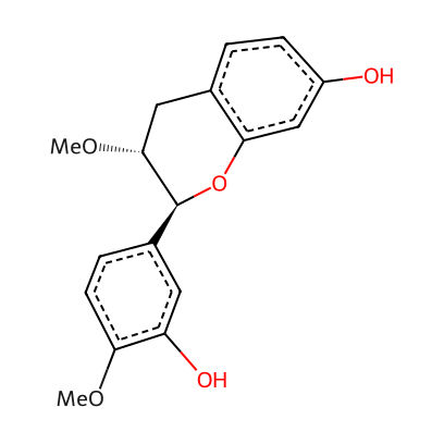 COc1ccc([C@@H]2Oc3cc(O)ccc3C[C@H]2OC)cc1O